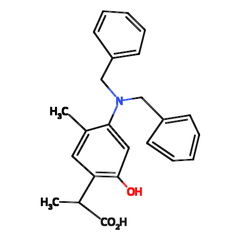 Cc1cc(C(C)C(=O)O)c(O)cc1N(Cc1ccccc1)Cc1ccccc1